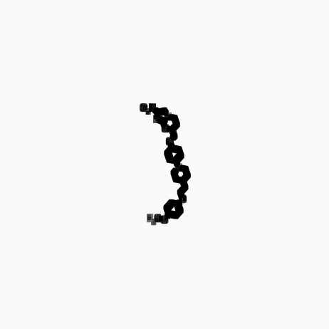 O=[N+]([O-])c1cn2c(n1)OC(COc1ccc(N3CCC(CCOc4ccc(OC(F)(F)F)cc4)CC3)cc1)CC2